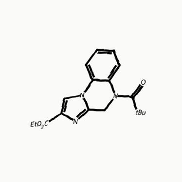 CCOC(=O)c1cn2c(n1)CN(C(=O)C(C)(C)C)c1ccccc1-2